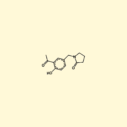 CC(=O)c1cc(CN2CCCC2=O)ccc1O